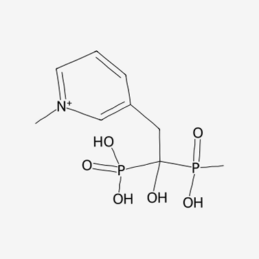 C[n+]1cccc(CC(O)(P(C)(=O)O)P(=O)(O)O)c1